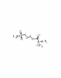 CN(C)C(=O)OCSCS(N)(=O)=O